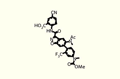 COC(=O)N(C)c1ccc(-c2cc3onc(C(=O)Nc4ccc(C#N)cc4C(=O)O)c3cc2N(C)C(C)=O)c(C(F)(F)F)c1